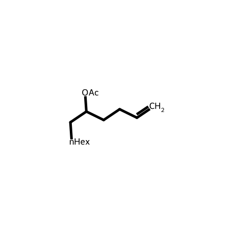 C=CCCC(CCCCCCC)OC(C)=O